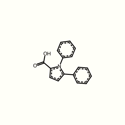 O=C(O)c1ccc(-c2ccccc2)n1-c1ccccc1